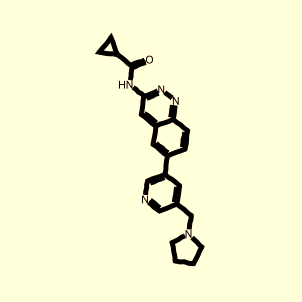 O=C(Nc1cc2cc(-c3cncc(CN4CCCC4)c3)ccc2nn1)C1CC1